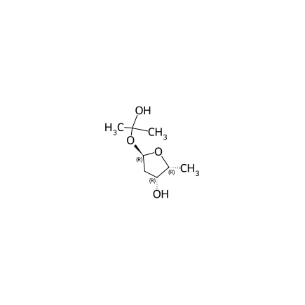 C[C@H]1O[C@H](OC(C)(C)O)C[C@H]1O